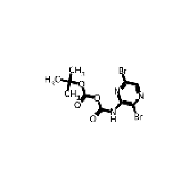 CC(C)(C)OC(=O)OC(=O)Nc1nc(Br)cnc1Br